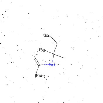 C=C(NC(C)(CC(C)(C)C)C(C)(C)C)C(C)CCC